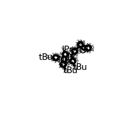 CC(C)c1cc2c3c(c1)N(c1ccc(C(C)(C)C)cc1)c1ccc(C(C)(C)C)cc1B3c1cc(C(C)(C)C)ccc1N2c1ccc(-c2cccc3c2oc2ccccc23)cc1